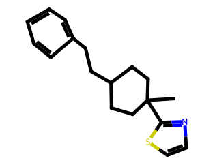 CC1(c2nccs2)CCC(CCc2ccccc2)CC1